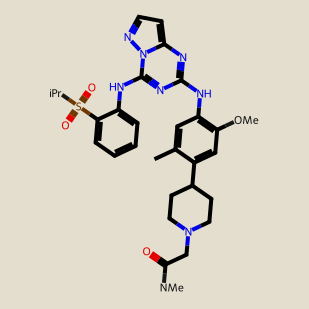 CNC(=O)CN1CCC(c2cc(OC)c(Nc3nc(Nc4ccccc4S(=O)(=O)C(C)C)n4nccc4n3)cc2C)CC1